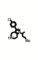 CCC(C)CCC(C)n1nc(-c2ccc(Cl)cc2)c2c1CCNCC2